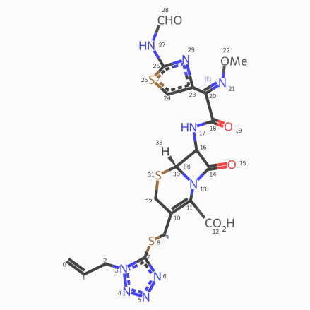 C=CCn1nnnc1SCC1=C(C(=O)O)N2C(=O)C(NC(=O)/C(=N/OC)c3csc(NC=O)n3)[C@H]2SC1